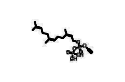 C#COP(=O)(OCC=C(C)CCC=C(C)CCC=C(C)C)OP(=O)(O)O